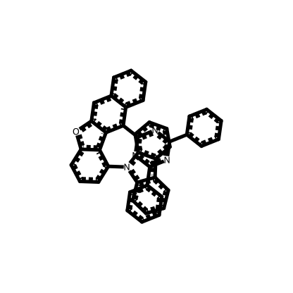 c1ccc(-c2nc(-c3ccccc3)nc(-c3c4ccccc4cc4oc5cccc(-n6c7ccccc7c7ccccc76)c5c34)n2)cc1